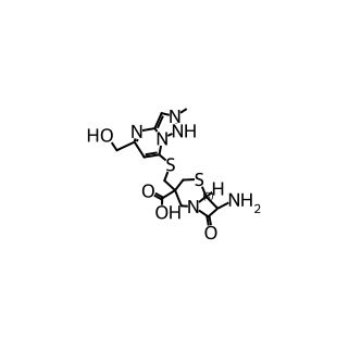 CN1C=C2N=C(CO)C=C(SCC3(C(=O)O)CS[C@@H]4C(N)C(=O)N4C3)N2N1